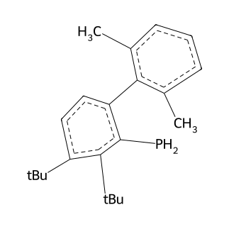 Cc1cccc(C)c1-c1ccc(C(C)(C)C)c(C(C)(C)C)c1P